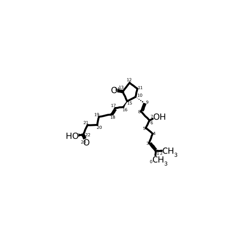 CC(C)=CCCC(O)C=C[C@H]1CCC(=O)[C@@H]1CC=CCCCC(=O)O